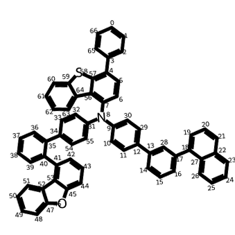 c1ccc(-c2ccc(N(c3ccc(-c4cccc(-c5cccc6ccccc56)c4)cc3)c3ccc(-c4ccccc4-c4cccc5oc6ccccc6c45)cc3)c3c2sc2ccccc23)cc1